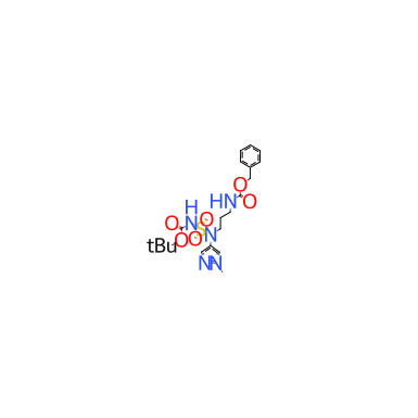 Cn1cc(N(CCCNC(=O)OCc2ccccc2)S(=O)(=O)NC(=O)OC(C)(C)C)cn1